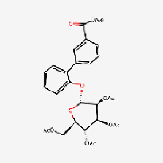 COC(=O)c1cccc(-c2ccccc2O[C@H]2O[C@H](COC(C)=O)[C@@H](OC(C)=O)[C@H](OC(C)=O)[C@@H]2OC(C)=O)c1